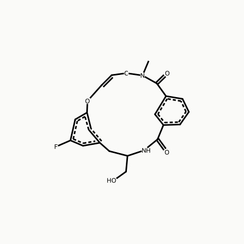 CN1C/C=C/Oc2cc(F)cc(c2)CC(CO)NC(=O)c2cccc(c2)C1=O